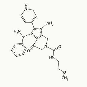 COCCNC(=O)N1CC(=O)c2c(N(N)c3ccccc3)c(C3=CCNC=C3)n(N)c2C1